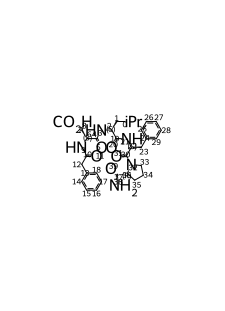 CC(C)C[C@H](NC(=O)[C@H](CC(=O)O)NC(=O)Cc1ccccc1)C(=O)N[C@@H](Cc1ccccc1)C(=O)N1CCC[C@@H]1C(N)=O